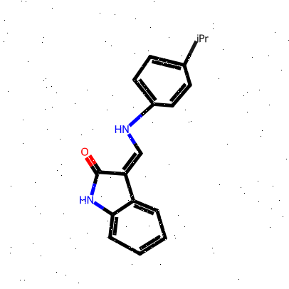 CC(C)c1ccc(N/C=C2\C(=O)Nc3ccccc32)cc1